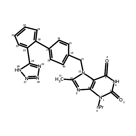 CCCn1c(=O)[nH]c(=O)c2c1nc(C)n2Cc1ccc(-c2ccccc2-c2nnn[nH]2)cc1